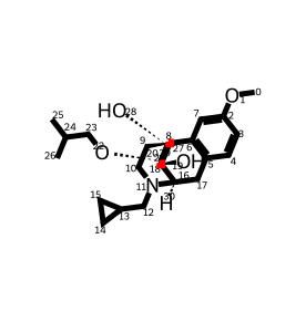 COc1ccc2c(c1)[C@]13CCN(CC4CC4)[C@H](C2)[C@]1(O)C[C@H](OCC(C)C)[C@H](O)C3